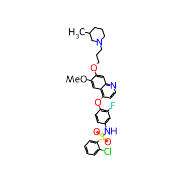 COc1cc2c(Oc3ccc(NS(=O)(=O)c4ccccc4Cl)cc3F)ccnc2cc1OCCCN1CCCC(C)C1